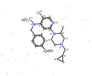 COc1ccc(CN(C(=O)O)c2cc(N3CCN(CC4CC4)CC3C)ncc2Cl)cc1